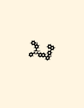 c1ccc(C2=NC(c3ccc4cc(-c5cccc6oc7cc(-c8cccc9ccccc89)ccc7c56)ccc4c3)NC(c3ccc4oc5ccccc5c4c3)=N2)cc1